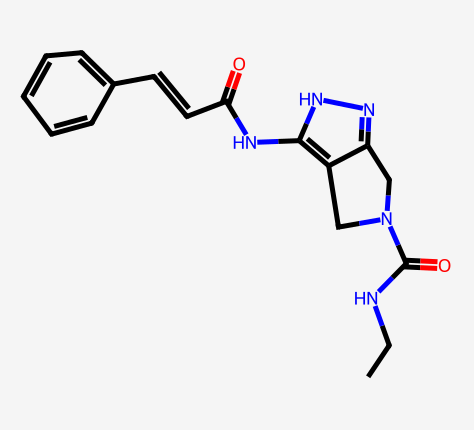 CCNC(=O)N1Cc2n[nH]c(NC(=O)C=Cc3ccccc3)c2C1